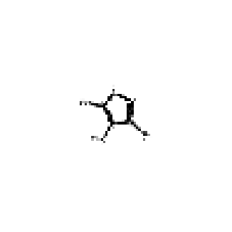 O=Cc1c([N+](=O)[O-])csc1O